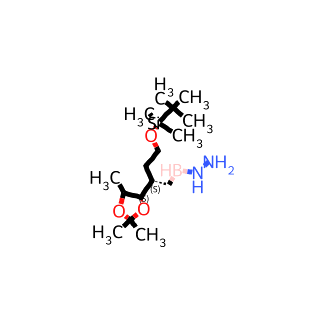 CC1OC(C)(C)O[C@H]1[C@@H](CBNN)CCO[Si](C)(C)C(C)(C)C